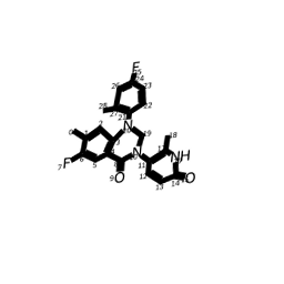 Cc1cc2c(cc1F)C(=O)N(c1ccc(=O)[nH]c1C)CN2c1ccc(F)cc1C